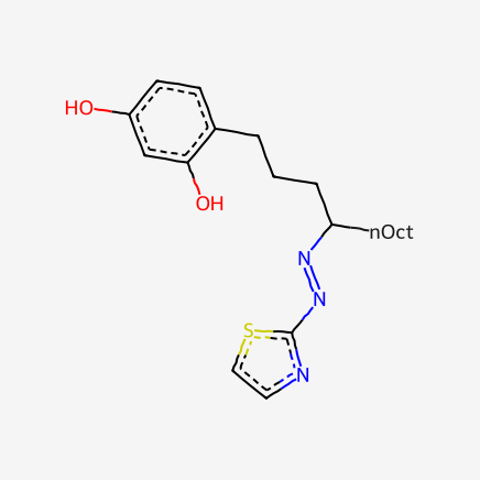 CCCCCCCCC(CCCc1ccc(O)cc1O)N=Nc1nccs1